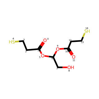 O=C(CCS)OC(CO)OC(=O)CCS